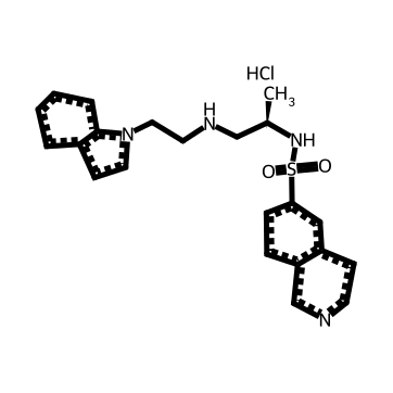 C[C@H](CNCCn1ccc2ccccc21)NS(=O)(=O)c1ccc2cnccc2c1.Cl